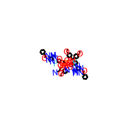 COc1ccc(C(O[C@H]2[C@@H](F)[C@H](n3cnc4c(NC(=O)c5ccccc5)ncnc43)O[C@@H]2COP(=O)(OCCC#N)O[C@H]2[C@@H](F)[C@H](n3cnc4c(NC(=O)c5ccccc5)ncnc43)O[C@@H]2/C=C/P(=O)(O)OCc2cc(OC)ccn2)(c2ccccc2)c2ccc(OC)cc2)cc1